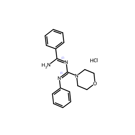 Cl.N/C(=N\C(=N\c1ccccc1)N1CCOCC1)c1ccccc1